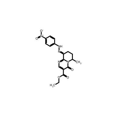 CCOC(=O)c1cnc2n(c1=O)C(C)CCC2=NNc1ccc([N+](=O)[O-])cc1